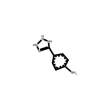 Nc1ccc(C2=NNNN2)cc1